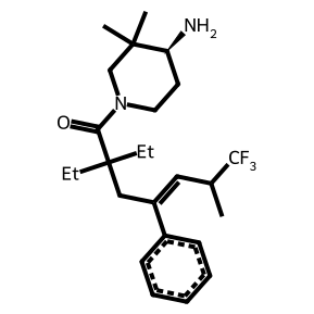 CCC(CC)(C/C(=C/C(C)C(F)(F)F)c1ccccc1)C(=O)N1CC[C@H](N)C(C)(C)C1